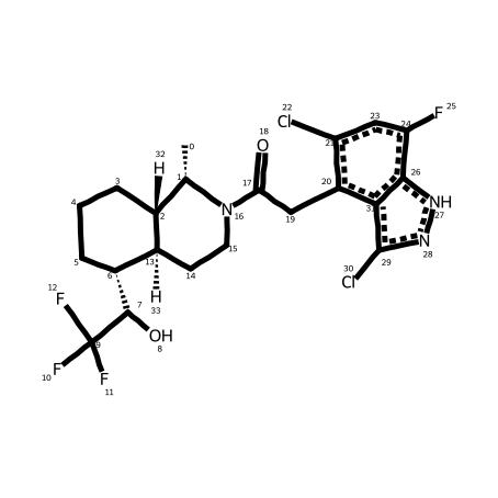 C[C@H]1[C@H]2CCC[C@@H](C(O)C(F)(F)F)[C@@H]2CCN1C(=O)Cc1c(Cl)cc(F)c2[nH]nc(Cl)c12